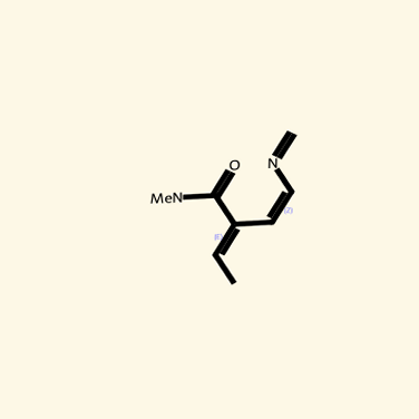 C=N/C=C\C(=C/C)C(=O)NC